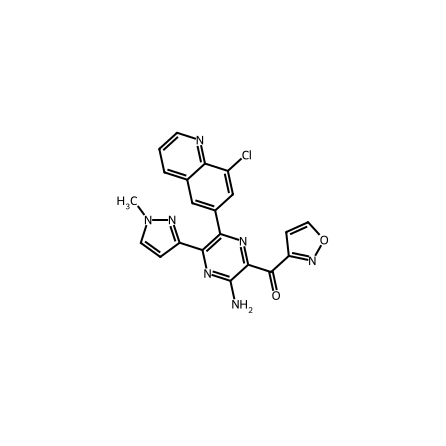 Cn1ccc(-c2nc(N)c(C(=O)c3ccon3)nc2-c2cc(Cl)c3ncccc3c2)n1